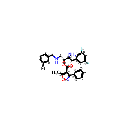 CCc1cccc(CNC[C@@H](OC(=O)c2c(-c3ccccc3)noc2C)[C@@H](N)Cc2cc(F)cc(F)c2)c1